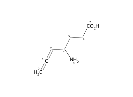 C=C=CC(N)CCC(=O)O